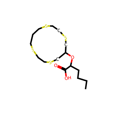 CCCCC(OC1CSCCSCCCSCCSC1)C(=O)O